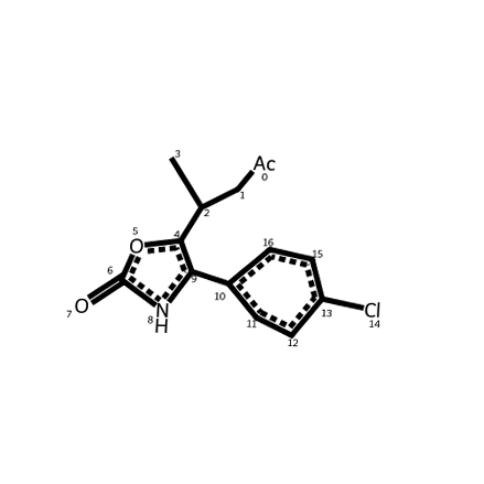 CC(=O)CC(C)c1oc(=O)[nH]c1-c1ccc(Cl)cc1